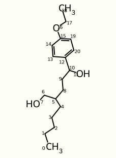 CCCCCC(CO)CCC(O)c1ccc(OCC)cc1